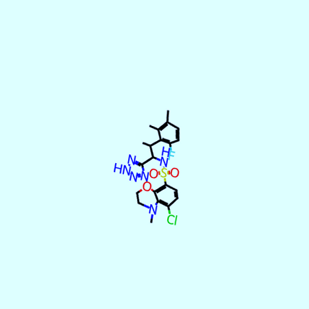 Cc1ccc(F)c(C(C)C(NS(=O)(=O)c2ccc(Cl)c3c2OCCN3C)c2nn[nH]n2)c1C